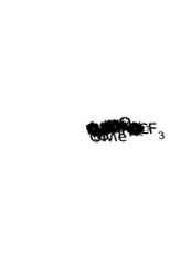 COc1ccccc1C(=O)N1CCC2(CCN(C(=O)Nc3ccc(C(F)(F)F)cc3)CC2)C1